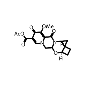 COc1c2n(cc(C(=O)OC(C)=O)c1=O)CC1O[C@@H]3CCC34C[C@H]4N1C2=O